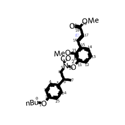 CCCCOc1ccc(C(C)CN(Oc2cccc(/C=C/C(=O)OC)c2OC)C(=O)O)cc1